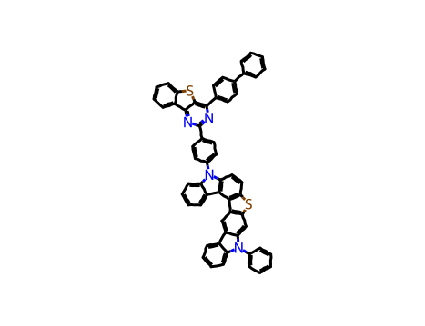 c1ccc(-c2ccc(-c3nc(-c4ccc(-n5c6ccccc6c6c7c(ccc65)sc5cc6c(cc57)c5ccccc5n6-c5ccccc5)cc4)nc4c3sc3ccccc34)cc2)cc1